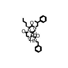 CCCC[C@H]1C(=O)N(CC(C)c2ccccc2)C[C@H]2N1C(=O)CN(C)N2C(=O)NCc1ccccc1